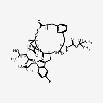 C=CCn1cc(C[C@@H]2NC(=O)[C@@H](NC(=O)OC(C)(C)C)Cc3cccc(c3)CNC(=O)CO[C@H]3CCN(C2=O)[C@@H]3C(=O)N[C@H](C(=O)OC)[C@@H](C)O)c2cc(F)ccc21